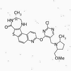 COCC1CCC(C)N1Cc1cnc(Cl)nc1Oc1ccc2c(ccc3sc4c(c32)NC[C@@H](C)NC4=O)n1